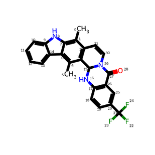 Cc1c2c(c(C)c3c1[nH]c1ccccc13)C1Nc3ccc(C(F)(F)F)cc3C(=O)N1C=C2